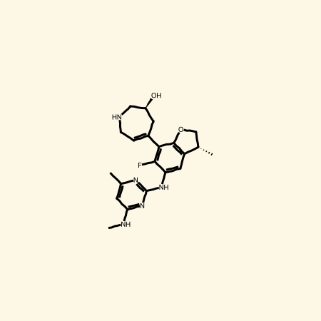 CNc1cc(C)nc(Nc2cc3c(c(C4=CCNC[C@@H](O)C4)c2F)OC[C@@H]3C)n1